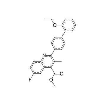 CCOc1ccccc1-c1ccc(-c2nc3ccc(F)cc3c(C(=O)OC)c2C)cc1